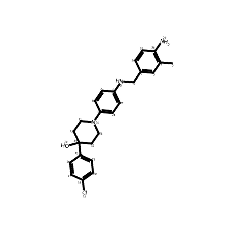 Cc1cc(CNc2ccc(N3CCC(O)(c4ccc(Cl)cc4)CC3)cc2)ccc1N